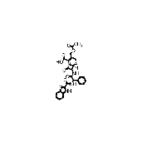 CC(=O)OCC1=C(C(=O)O)N2C(=O)C(NC(=O)C(NC(=O)c3nc4ccccc4[nH]3)c3ccccc3)[C@@H]2SC1